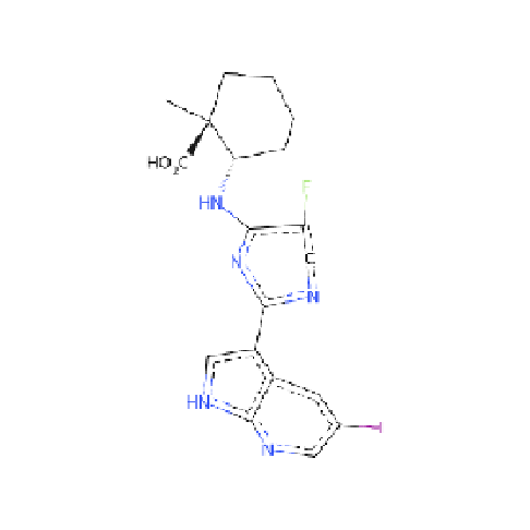 C[C@]1(C(=O)O)CCCC[C@@H]1Nc1nc(-c2c[nH]c3ncc(I)cc23)ncc1F